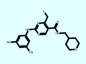 N#Cc1cc(C#N)cc(Nc2ncc(C(=O)NCC3CCOCC3)c(CF)n2)c1